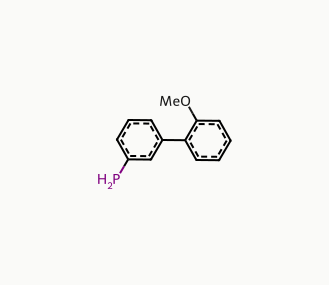 COc1ccccc1-c1cccc(P)c1